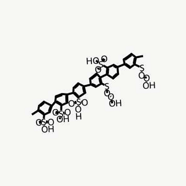 Cc1ccc(-c2ccc(-c3ccc(-c4ccc(-c5ccc(-c6ccc(C)c(S(=O)(=O)O)c6)c(S(=O)(=O)O)c5)c(S(=O)(=O)O)c4)cc3SOOO)c(S(=O)(=O)O)c2)cc1SOOO